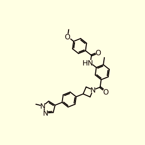 COc1ccc(C(=O)Nc2cc(C(=O)N3CC(c4ccc(-c5cnn(C)c5)cc4)C3)ccc2C)cc1